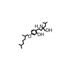 CC(C)CCCC(C)COc1ccc(CC[C@@](N)(CO)CC(C)C)c(O)c1